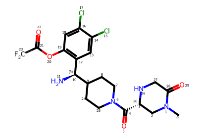 CN1C[C@H](C(=O)N2CCC([C@@H](N)c3cc(Cl)c(Cl)cc3OC(=O)C(F)(F)F)CC2)NCC1=O